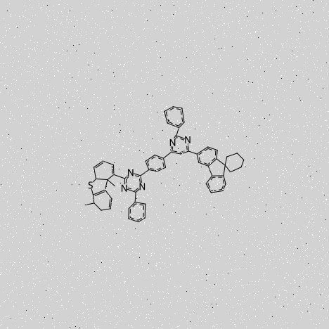 CC1CC=CC2=C1SC1C=CC=C(c3nc(-c4ccccc4)nc(-c4ccc(-c5cc(-c6ccc7c(c6)-c6ccccc6C76CCCCC6)nc(-c6ccccc6)n5)cc4)n3)C21C